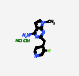 Cl.Cl.Cn1ccc2c(N)nc(Cc3ccncc3F)nc21